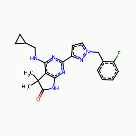 CC1(C)C(=O)Nc2nc(-c3ccn(Cc4ccccc4F)n3)nc(NCC3CC3)c21